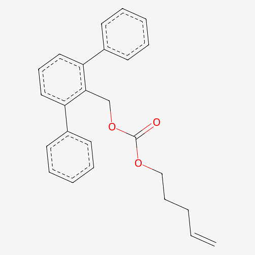 C=CCCCOC(=O)OCc1c(-c2ccccc2)cccc1-c1ccccc1